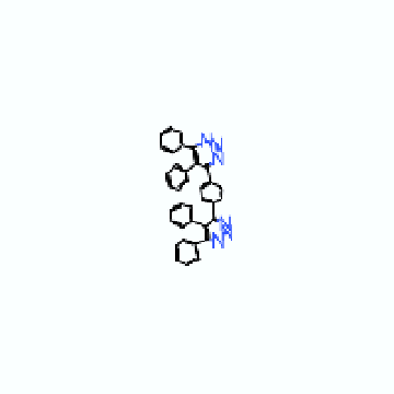 c1ccc(-c2nnnc(-c3ccc(-c4nnnc(-c5ccccc5)c4-c4ccccc4)cc3)c2-c2ccccc2)cc1